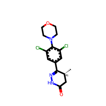 C[C@@H]1CC(=O)NN=C1c1cc(Cl)c(N2CCOCC2)c(Cl)c1